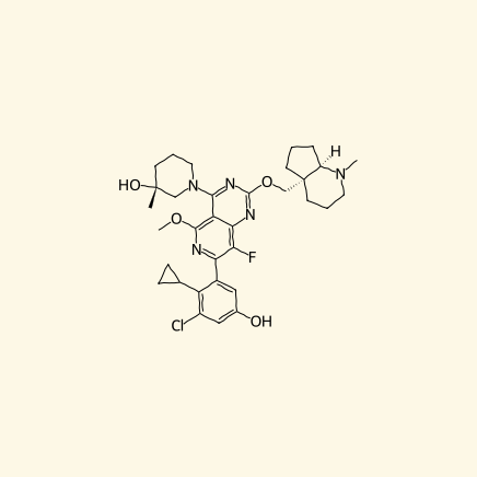 COc1nc(-c2cc(O)cc(Cl)c2C2CC2)c(F)c2nc(OC[C@]34CCC[C@H]3N(C)CCC4)nc(N3CCC[C@@](C)(O)C3)c12